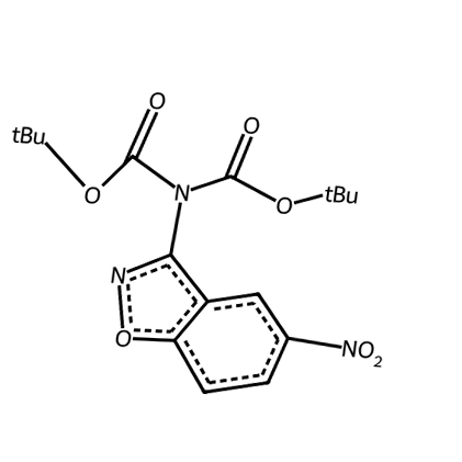 CC(C)(C)OC(=O)N(C(=O)OC(C)(C)C)c1noc2ccc([N+](=O)[O-])cc12